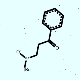 CC(C)(C)[S+]([O-])CCC(=O)c1ccccc1